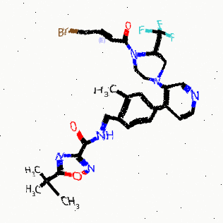 Cc1cc(-c2ccncc2N2CCN(C(=O)/C=C/CBr)C(C(F)(F)F)C2)ccc1CNC(=O)c1noc(C(C)(C)C)n1